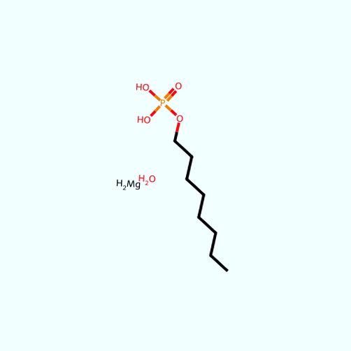 CCCCCCCCOP(=O)(O)O.O.[MgH2]